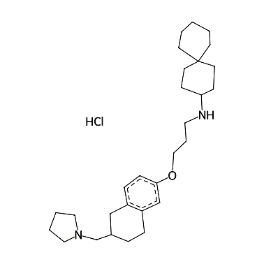 Cl.c1cc2c(cc1OCCCNC1CCC3(CCCCC3)CC1)CCC(CN1CCCC1)C2